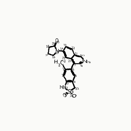 Cc1cc2c(cc1-c1cncc3ccc(N4CCCC4=O)cc13)CS(=O)(=O)N2